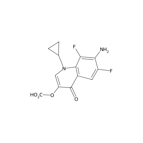 Nc1c(F)cc2c(=O)c(OC(=O)O)cn(C3CC3)c2c1F